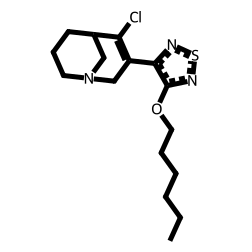 CCCCCCOc1nsnc1C1=C(Cl)C2CCCN(C1)C2